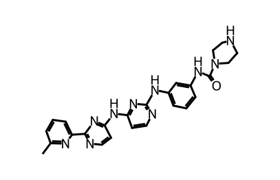 Cc1cccc(-c2nccc(Nc3ccnc(Nc4cccc(NC(=O)N5CCNCC5)c4)n3)n2)n1